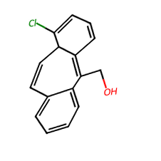 OCC1=C2C=CC=C(Cl)C2C=Cc2ccccc21